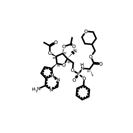 CC(=O)O[C@@H]1[C@H](c2ccc3c(N)ncnn23)O[C@](C#N)(COP(=O)(N[C@@H](C)C(=O)OCC2CCOCC2)Oc2ccccc2)[C@H]1OC(C)=O